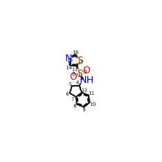 O=S(=O)(NC1CCc2ccccc21)c1cncs1